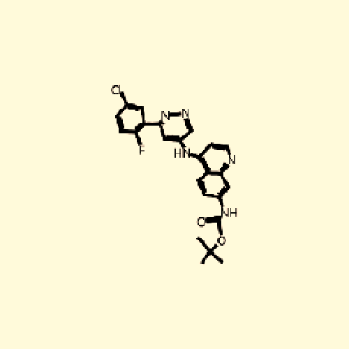 CC(C)(C)OC(=O)Nc1ccc2c(Nc3cnnc(-c4cc(Cl)ccc4F)c3)ccnc2c1